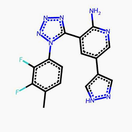 Cc1ccc(-n2nnnc2-c2cc(-c3cn[nH]c3)cnc2N)c(F)c1F